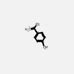 C=C(CC)c1ccc(O)cc1